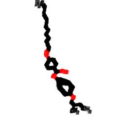 C=CCCCCCCCCOc1ccc(C(=O)Oc2ccc(OC[C@@H](C)CC)cc2)cc1